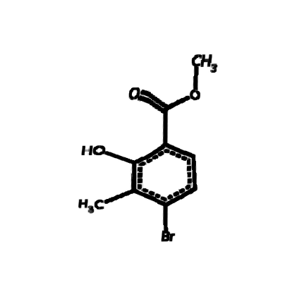 COC(=O)c1ccc(Br)c(C)c1O